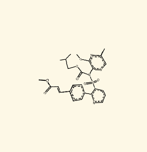 COC(=O)C=Cc1ccc(-c2ncccc2S(=O)(=O)N(C(=O)OCC(C)C)c2ncc(C)nc2OC)cc1